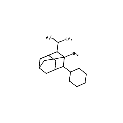 CC(C)C1C2CC3CC(C2)C(C2CCCCC2)C1(N)C3